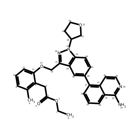 CCOC(=O)Cc1c(C)cccc1OCc1nn(C2CCOC2)c2ccc(-c3cccc4c(N)nccc34)cc12